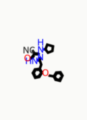 N#Cc1c(NC2CCCC2)nc(Cc2ccccc2OCc2ccccc2)[nH]c1=O